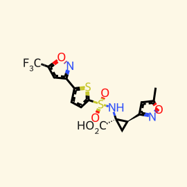 Cc1cc([C@H]2C[C@]2(NS(=O)(=O)c2ccc(-c3cc(C(F)(F)F)on3)s2)C(=O)O)no1